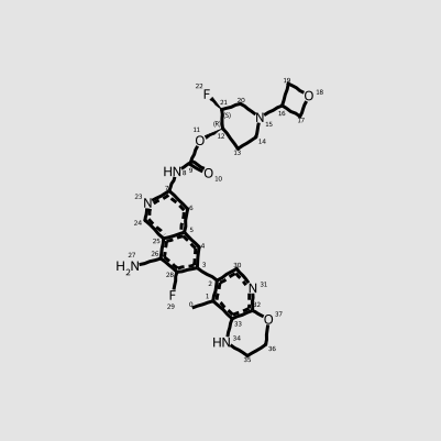 Cc1c(-c2cc3cc(NC(=O)O[C@@H]4CCN(C5COC5)C[C@@H]4F)ncc3c(N)c2F)cnc2c1NCCO2